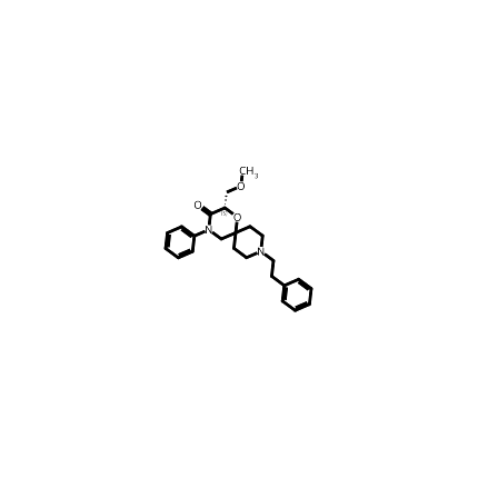 COC[C@@H]1OC2(CCN(CCc3ccccc3)CC2)CN(c2ccccc2)C1=O